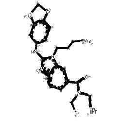 CC(C)CN(CC(C)C)C(=O)c1ccc2nc(Nc3ccc4c(c3)OCO4)n(CCCN)c2c1